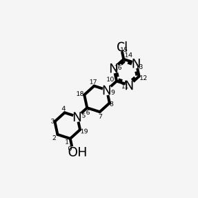 OC1CCCN(C2CCN(c3ncnc(Cl)n3)CC2)C1